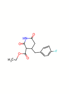 CCOC(=O)C1C(=O)NC(=O)CC1Cc1ccc(F)cc1